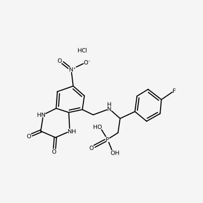 Cl.O=c1[nH]c2cc([N+](=O)[O-])cc(CNC(CP(=O)(O)O)c3ccc(F)cc3)c2[nH]c1=O